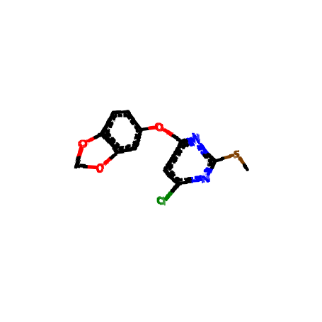 CSc1nc(Cl)cc(Oc2ccc3c(c2)OCO3)n1